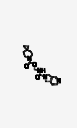 O=C(NCOC(=O)N1CCC2(CC1)CC2)N1Cc2ccncc2C1